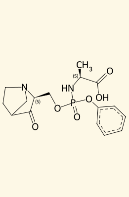 C[C@H](NP(=O)(OC[C@H]1C(=O)C2CCN1C2)Oc1ccccc1)C(=O)O